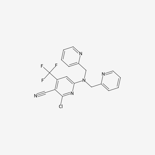 N#Cc1c(C(F)(F)F)cc(N(Cc2ccccn2)Cc2ccccn2)nc1Cl